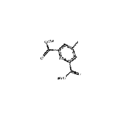 COC(=O)c1cc(I)cc(C(=O)OC)n1